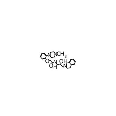 CN1CCN(c2ccccc2OCC(=O)NC[C@@H](O)CN2CCc3ccccc3C2)CC1